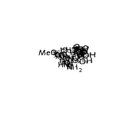 CC[C@@H](O[C@@H](CO)COP(=O)(O)OP(=O)(O)OP(=O)(O)O)n1cc(CO[C@H](c2cc(OC)ccc2[N+](=O)[O-])C(C)(C)C)c2c(=O)[nH]c(N)nc21